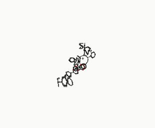 C=C1CC2C(CCc3ccc4c(sc5cc(-c6ccc7c(c6)oc6ccc(F)cc67)ccc54)c3-c3n(-c4ccccc4-c4ccccc4)c4ccccc4[n+]31)c1ccccc1-c1ccc([Si](C)(C)C)c[n+]12